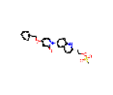 CS(=O)(=O)OCCc1ccc2cc(-n3ccc(OCc4ccccc4)cc3=O)ccc2n1